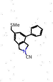 CSCc1cc2c(c(-c3ccccc3)c1)CN(C#N)C2